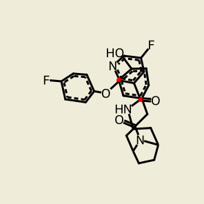 O=C(NC1CC2CCC(C1)N2C(=O)Cc1ccc(O)cc1)c1cc(F)cnc1Oc1ccc(F)cc1